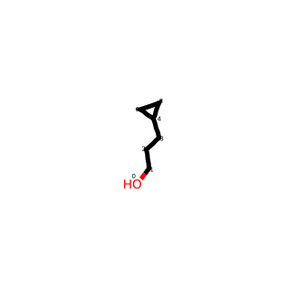 OCCC[C]1CC1